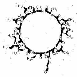 C/C=C/C[C@@H](C)C[C@H]1C(=O)N[C@@H](CC)C(=O)N(C)[C@H](COCCC=O)C(=O)N(C)[C@@H](CC(C)C)C(=O)N[C@H](C(C)C)C(=O)N(C)[C@H](CC(C)C)C(=O)N[C@H](C)C(=O)N[C@@H](C)C(=O)N(C)[C@@H](CC(C)C)C(=O)N(C)[C@@H](CC(C)C)C(=O)N(C)[C@@H](C(C)C)C(=O)N1C